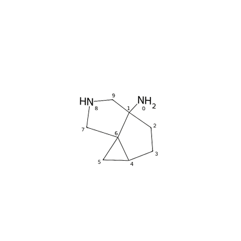 NC12CCC3CC31CNC2